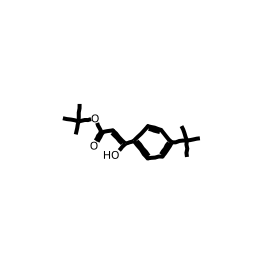 CC(C)(C)OC(=O)/C=C(\O)c1ccc(C(C)(C)C)cc1